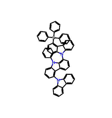 c1ccc(-n2c3cccc(-n4c5ccccc5c5ccccc54)c3c3cccc(-n4c5ccccc5c5c([Si](c6ccccc6)(c6ccccc6)c6ccccc6)cccc54)c32)cc1